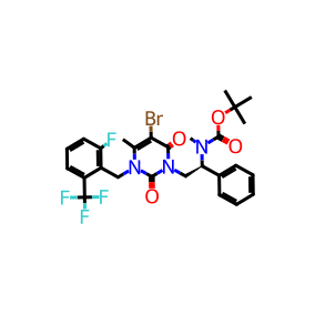 Cc1c(Br)c(=O)n(C[C@H](c2ccccc2)N(C)C(=O)OC(C)(C)C)c(=O)n1Cc1c(F)cccc1C(F)(F)F